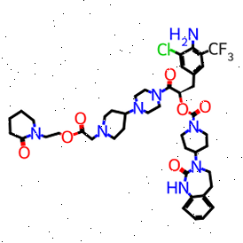 Nc1c(Cl)cc(C[C@@H](OC(=O)N2CCC(N3CCc4ccccc4NC3=O)CC2)C(=O)N2CCN(C3CCN(CC(=O)OCCN4CCCCC4=O)CC3)CC2)cc1C(F)(F)F